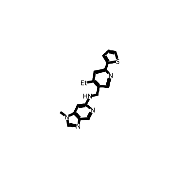 CCc1cc(-c2cccs2)ncc1CNc1cc2c(cn1)ncn2C